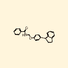 O=C(NCOc1ccc(C2CCc3ccccc32)cc1)c1ccccc1